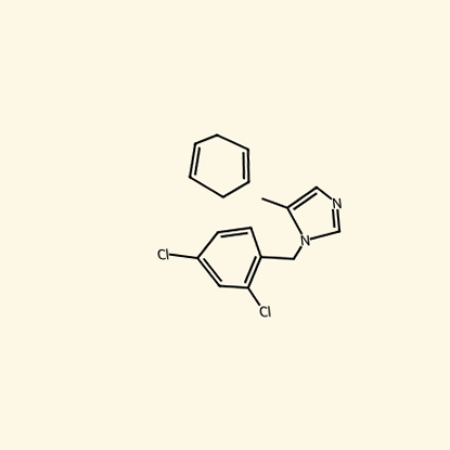 C1=CCC=CC1.Cc1cncn1Cc1ccc(Cl)cc1Cl